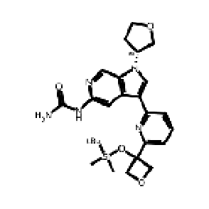 CC(C)(C)[Si](C)(C)OC1(c2cccc(-c3cn([C@@H]4CCOC4)c4cnc(NC(N)=O)cc34)n2)COC1